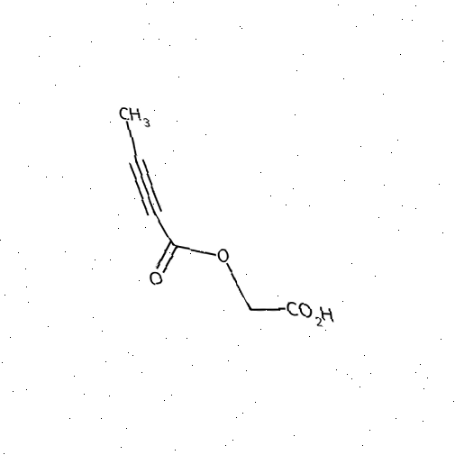 CC#CC(=O)OCC(=O)O